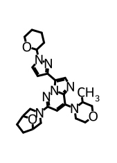 CC1COCCN1c1cc(N2CC3CCC(C2)O3)nn2c(-c3ccn(C4CCCCO4)n3)cnc12